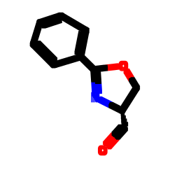 O=C[C@H]1COC(c2ccccc2)=N1